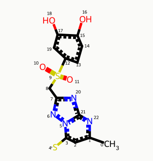 Cc1cc([S])n2nc(CS(=O)(=O)c3ccc(O)c(O)c3)nc2n1